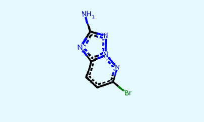 Nc1nc2ccc(Br)nn2n1